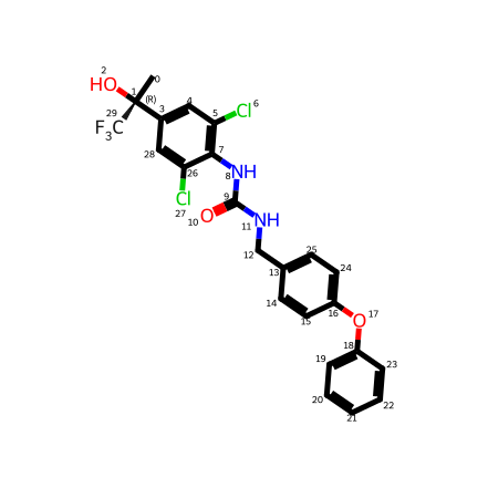 C[C@@](O)(c1cc(Cl)c(NC(=O)NCc2ccc(Oc3ccccc3)cc2)c(Cl)c1)C(F)(F)F